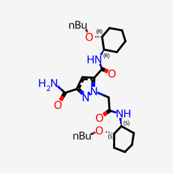 CCCCO[C@H]1CCCC[C@@H]1NC(=O)Cn1nc(C(N)=O)cc1C(=O)N[C@@H]1CCCC[C@H]1OCCCC